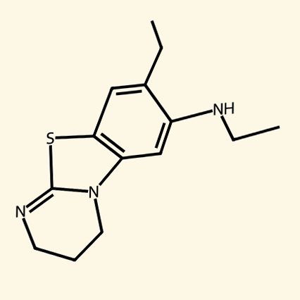 CCNc1cc2c(cc1CC)SC1=NCCCN12